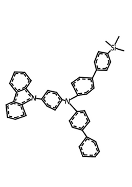 C[Si](C)(C)c1ccc(-c2ccc(N(c3ccc(-c4ccccc4)cc3)c3ccc(-n4c5ccccc5c5ccccc54)cc3)cc2)cc1